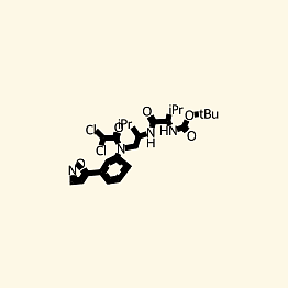 CC(C)C(CN(C(=O)C(Cl)Cl)c1cccc(-c2ccno2)c1)NC(=O)C(NC(=O)OC(C)(C)C)C(C)C